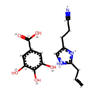 C=CCc1nc(CCC#N)c[nH]1.O=C(O)c1cc(O)c(O)c(O)c1